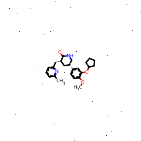 COc1ccc([C@H]2CNC(=O)[C@@H](Cc3cccc(C)n3)C2)cc1OC1CCCC1